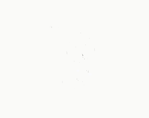 C/C=N\C(=C/N=C(C)C)C(=O)N[C@H]1C(C)(C)[C@H](Oc2ccc(C#N)c(C(F)(F)F)c2)C1(C)C